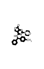 Cc1ccc(C(Nc2nc(N3CCOCC3)nc3c2COC3=O)c2ccccc2)cc1